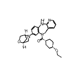 CCO[C@H]1CC[C@@H](C(=O)N2Cc3cccnc3Nc3ccc(N4C[C@@H]5C[C@H]4CO5)cc32)CC1